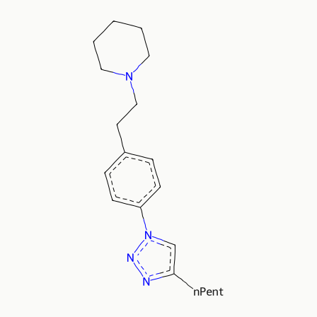 CCCCCc1cn(-c2ccc(CCN3CCCCC3)cc2)nn1